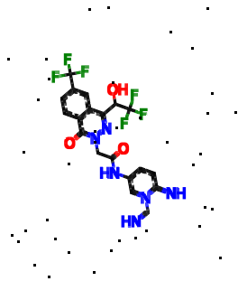 N=Cn1cc(NC(=O)Cn2nc(C(O)C(F)(F)F)c3cc(C(F)(F)F)ccc3c2=O)ccc1=N